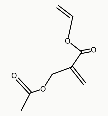 C=COC(=O)C(=C)COC(C)=O